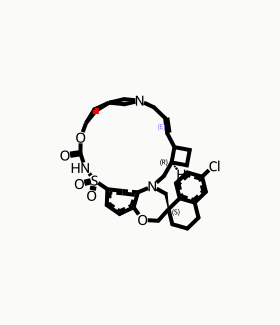 O=C1NS(=O)(=O)c2ccc3c(c2)N(C[C@@H]2CCC2/C=C/CN2CC4(CC(C4)O1)C2)C[C@@]1(CCCc2cc(Cl)ccc21)CO3